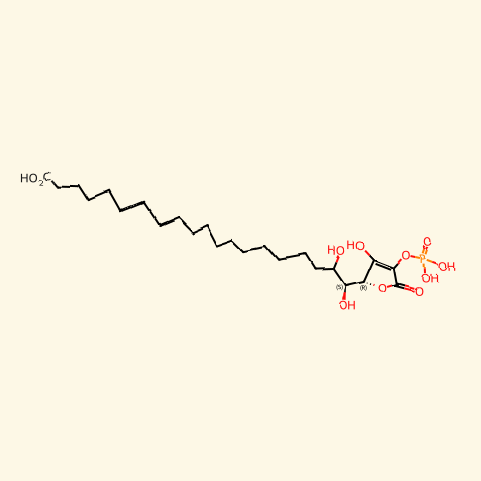 O=C(O)CCCCCCCCCCCCCCCCCC(O)[C@H](O)[C@H]1OC(=O)C(OP(=O)(O)O)=C1O